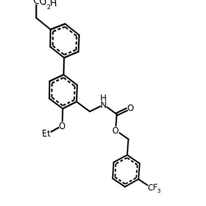 CCOc1ccc(-c2cccc(CC(=O)O)c2)cc1CNC(=O)OCc1cccc(C(F)(F)F)c1